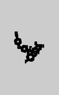 N#Cc1ccc(Oc2ccc(C(F)(F)C(O)(Cn3nc[nH]c3=S)C3=CC=C(F)C#CC3F)nc2)cc1